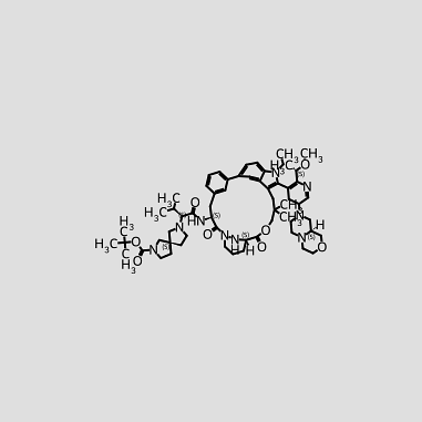 CCn1c(C2=C([C@H](C)OC)N=CC(N3CCN4CCOC[C@@H]4C3)C2)c2c3cc(ccc31)-c1cccc(c1)C[C@H](NC(=O)[C@H](C(C)C)N1CC[C@]3(CCN(C(=O)OC(C)(C)C)C3)C1)C(=O)N1CCC[C@H](N1)C(=O)OCC(C)(C)C2